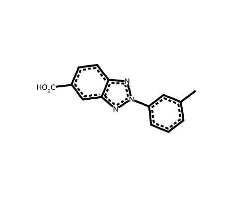 Cc1cccc(-n2nc3ccc(C(=O)O)cc3n2)c1